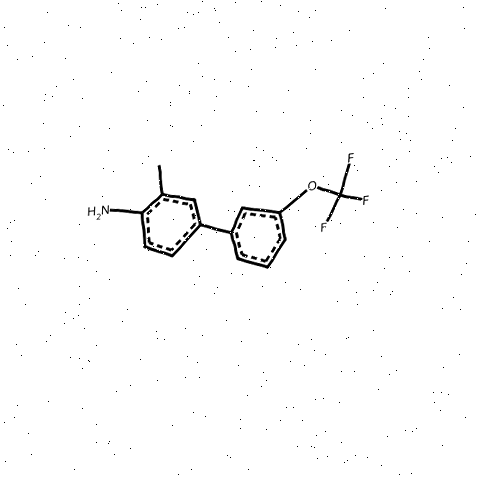 Cc1cc(-c2cccc(OC(F)(F)F)c2)ccc1N